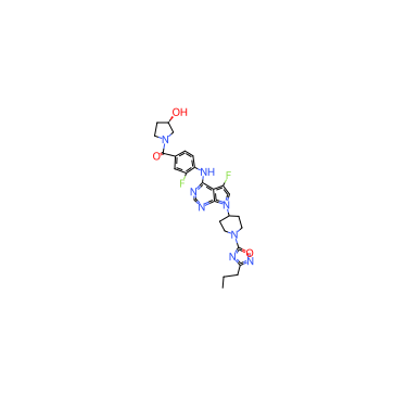 CCCc1noc(N2CCC(n3cc(F)c4c(Nc5ccc(C(=O)N6CC[C@@H](O)C6)cc5F)ncnc43)CC2)n1